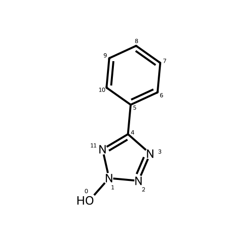 On1nnc(-c2ccccc2)n1